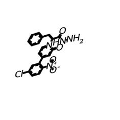 NNC(=O)C(Cc1ccccc1)n1ccc(-c2cc(Cl)ccc2[N+](=O)[O-])cc1=O